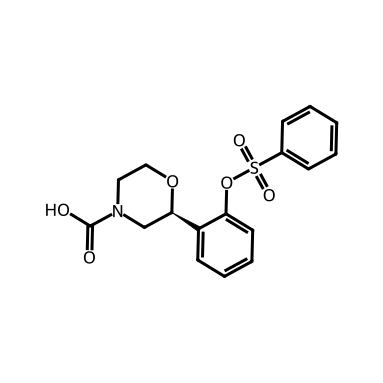 O=C(O)N1CCO[C@@H](c2ccccc2OS(=O)(=O)c2ccccc2)C1